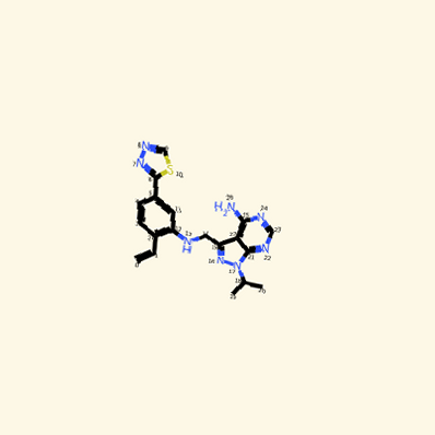 C=Cc1ccc(-c2nncs2)cc1NCc1nn(C(C)C)c2ncnc(N)c12